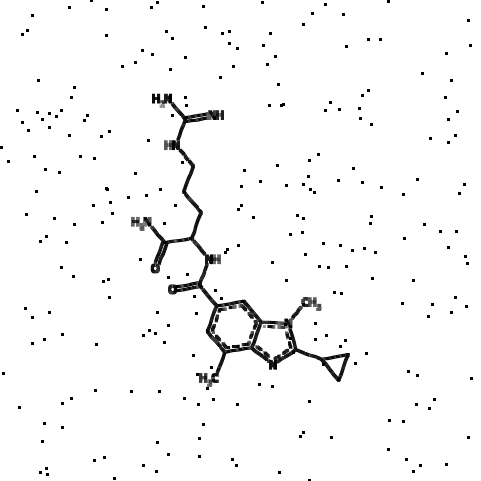 Cc1cc(C(=O)NC(CCCNC(=N)N)C(N)=O)cc2c1nc(C1CC1)n2C